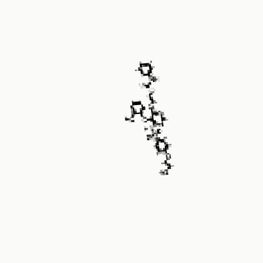 COc1ccccc1Oc1c(NS(=O)(=O)c2ccc(OCCO)cc2)ncnc1OCCOC(=O)Nc1ccccn1